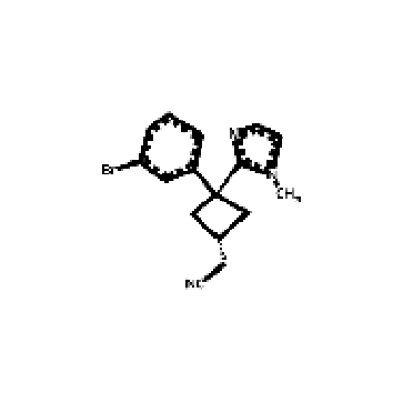 Cn1ccnc1[C@]1(c2cccc(Br)c2)C[C@@H](CC#N)C1